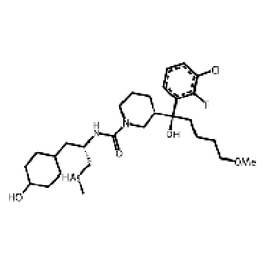 COCCCC[C@@](O)(c1cccc(Cl)c1F)[C@@H]1CCCN(C(=O)N[C@H](C[AsH]C)CC2CCC(O)CC2)C1